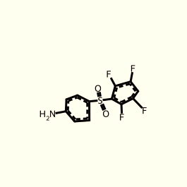 Nc1ccc(S(=O)(=O)c2c(F)c(F)cc(F)c2F)cc1